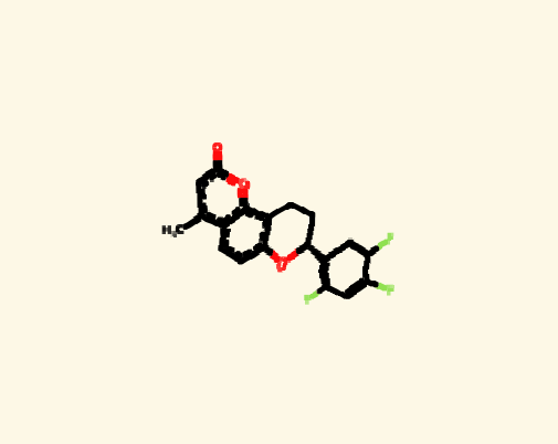 Cc1cc(=O)oc2c3c(ccc12)O[C@H](C1=C(F)C=C(F)C(F)C1)CC3